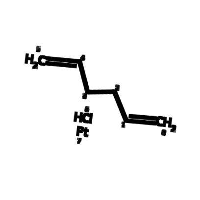 C=CCCC=C.Cl.[Pt]